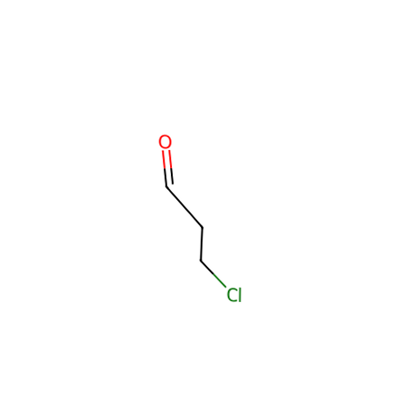 O=CCCCl